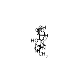 Cc1ncnc2c1ncn2[C@@H]1O[C@H]2COP(=O)(O)OC2[C@H]1O